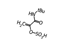 C=C(OS(=O)(=O)O)C(=O)NC(C)(C)C